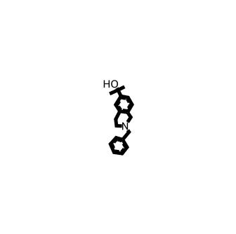 CC(C)(O)c1ccc2c(c1)CCN(Cc1ccccc1)C2